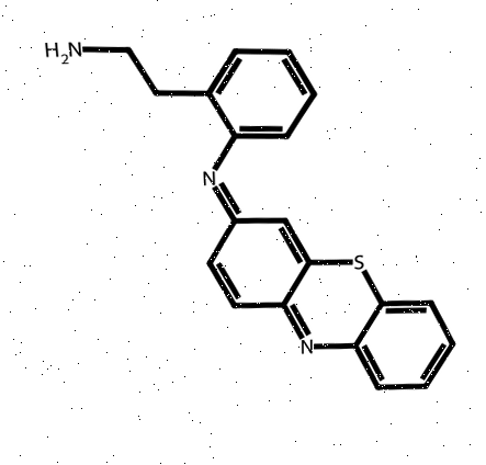 NCCc1ccccc1N=c1ccc2nc3ccccc3sc-2c1